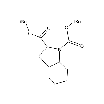 CCC(C)OC(=O)C1CC2CCCCC2N1C(=O)OC(C)(C)C